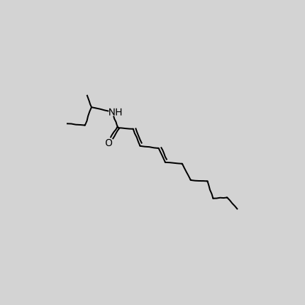 CCCCCC/C=C/C=C/C(=O)NC(C)CC